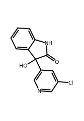 O=C1Nc2ccccc2C1(O)c1cncc(Cl)c1